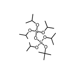 CC(C)O[Si](OC(C)C)(OC(C)C)O[Si](OC(C)C)(OC(C)C)OC(C)(C)C